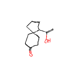 C=C(O)C1CCCC12CCC(=O)CC2